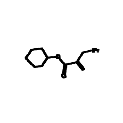 C=C(CC(C)C)C(=O)OC1CCCCC1